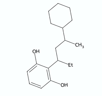 CCC(CC(C)C1CCCCC1)c1c(O)cccc1O